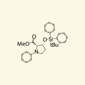 COC(=O)[C@H]1[C@H](O[Si](c2ccccc2)(c2ccccc2)C(C)(C)C)CCN1c1ccccc1